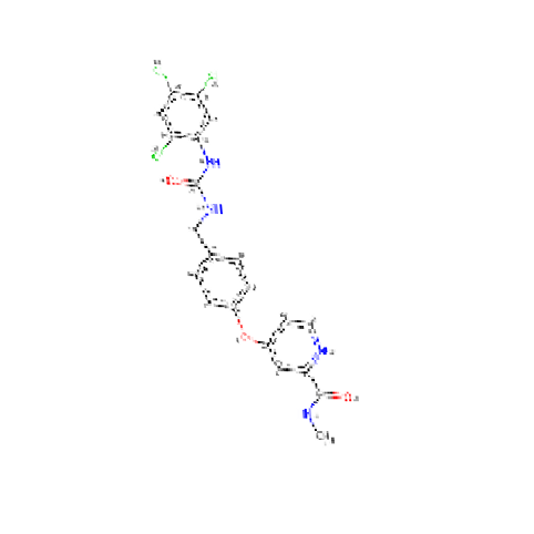 CNC(=O)c1cc(Oc2ccc(CNC(=O)Nc3cc(Cl)c(Cl)cc3Cl)cc2)ccn1